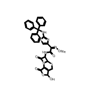 CO/N=C(\C(=O)NC1C(=O)N2C3=C(CSC12)C(O)OC3=O)c1csc(NC(c2ccccc2)(c2ccccc2)c2ccccc2)n1